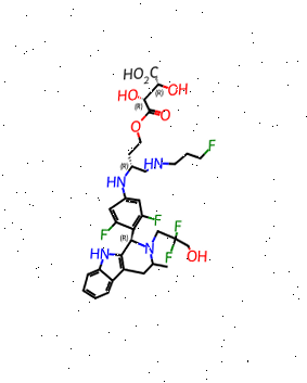 CC1Cc2c([nH]c3ccccc23)[C@@H](c2c(F)cc(N[C@H](CCOC(=O)[C@H](O)[C@@H](O)C(=O)O)CNCCCF)cc2F)N1CC(F)(F)CO